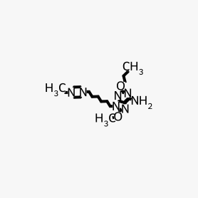 CCCCOc1nc(N)c2nc(OC)n(CCCCCCN3CCN(CC)CC3)c2n1